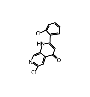 O=c1cc(-c2ccccc2Cl)[nH]c2cnc(Cl)cc12